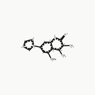 COc1cc(-n2cncn2)cc2oc(=O)c(C)c(C)c12